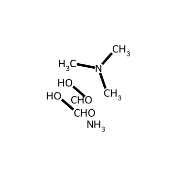 CN(C)C.N.O=CO.O=CO